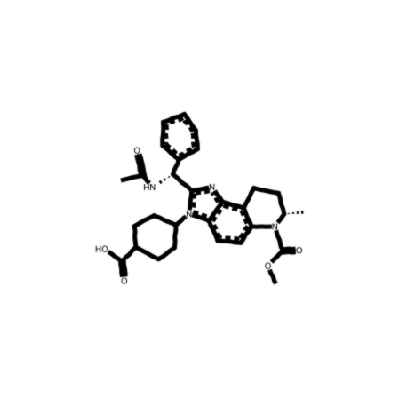 COC(=O)N1c2ccc3c(nc([C@H](NC(C)=O)c4ccccc4)n3C3CCC(C(=O)O)CC3)c2CC[C@@H]1C